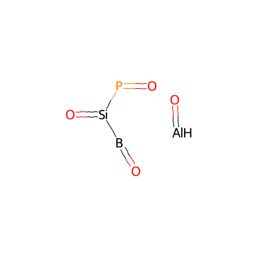 O=B[Si](=O)P=O.[O]=[AlH]